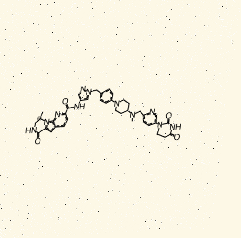 C[C@@H]1CNC(=O)c2cc3ccc(C(=O)Nc4cnn(Cc5ccc(N6CCC(N(C)Cc7ccc(N8CCC(=O)NC8=O)cn7)CC6)cc5)c4)nc3n21